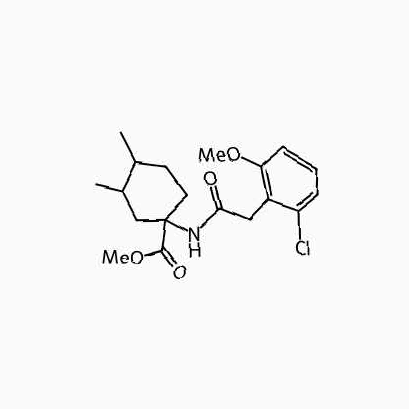 COC(=O)C1(NC(=O)Cc2c(Cl)cccc2OC)CCC(C)C(C)C1